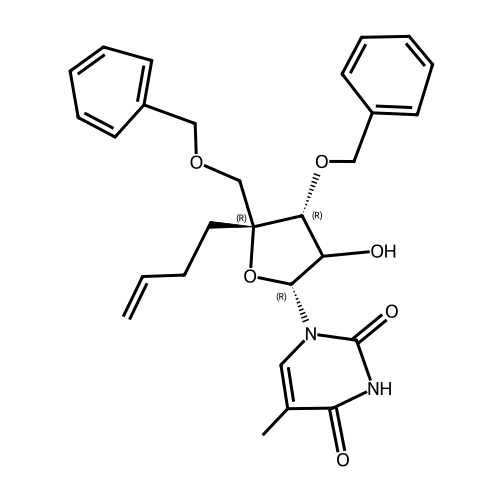 C=CCC[C@]1(COCc2ccccc2)O[C@@H](n2cc(C)c(=O)[nH]c2=O)C(O)[C@H]1OCc1ccccc1